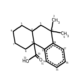 CC1(C)CC2CCCCC2(C(=O)O)c2ccccc21